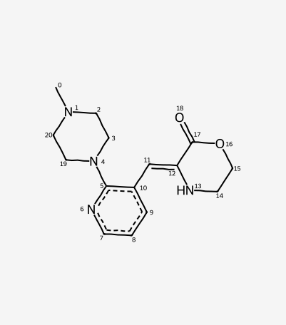 CN1CCN(c2ncccc2C=C2NCCOC2=O)CC1